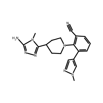 Cn1cc(-c2cccc(C#N)c2N2CCC(c3nnc(N)n3C)CC2)cn1